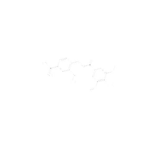 CNc1cc(C(=N)N)ccc1CNC(=O)c1cc(OC)c(C)c(OC)c1